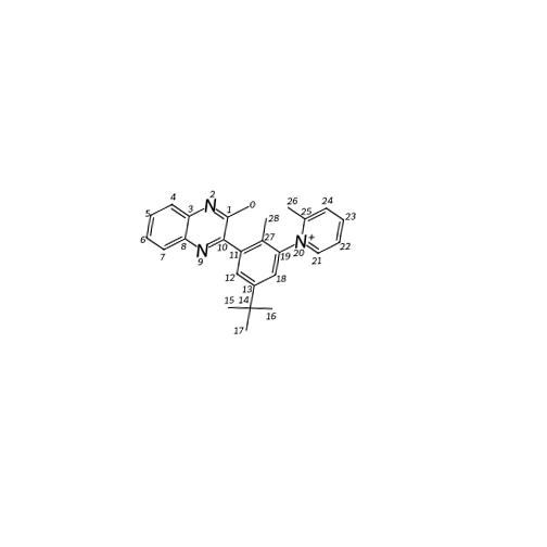 Cc1nc2ccccc2nc1-c1cc(C(C)(C)C)cc(-[n+]2ccccc2C)c1C